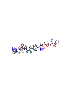 CC(=O)NCCOC[C@@H]1CC(c2ccc(-c3ccc(N4C[C@H](Cn5ccnn5)OC4=O)cc3F)cn2)=NO1